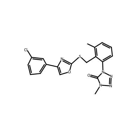 Cc1cccc(-n2nnn(C)c2=O)c1CSc1nc(-c2cccc(Cl)c2)co1